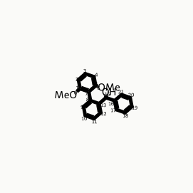 COc1cccc(OC)c1-c1ccccc1C(O)c1ccccc1